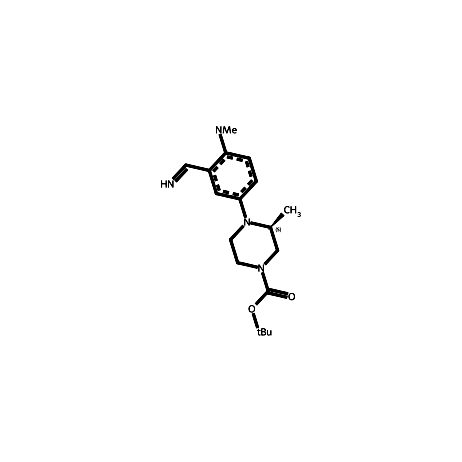 CNc1ccc(N2CCN(C(=O)OC(C)(C)C)C[C@@H]2C)cc1C=N